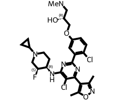 CNC[C@@H](O)COc1ccc(Cl)c(-c2nc(N[C@@H]3CCN(C4CC4)C[C@@H]3F)c(Cl)c(-c3c(C)noc3C)n2)c1